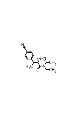 CCN(CC)C(=O)[C@H](NCl)C(C)c1ccc(C#N)cc1